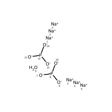 O.[Na+].[Na+].[Na+].[Na+].[Na+].[Na+].[O-]P([O-])[O-].[O-]P([O-])[O-]